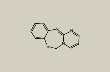 C1=CN2CSc3ccccc3N=C2N=C1